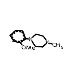 COc1[c]cccc1N1CCN(C)CC1